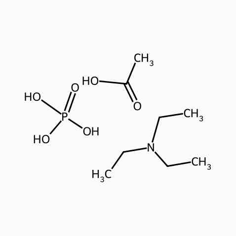 CC(=O)O.CCN(CC)CC.O=P(O)(O)O